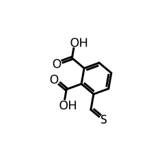 O=C(O)c1cccc(C=S)c1C(=O)O